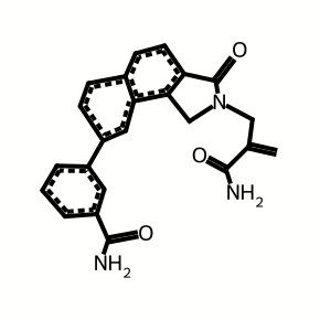 C=C(CN1Cc2c(ccc3ccc(-c4cccc(C(N)=O)c4)cc23)C1=O)C(N)=O